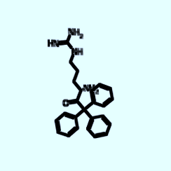 N=C(N)NCCC[C@H](N)C(=O)C(c1ccccc1)(c1ccccc1)c1ccccc1